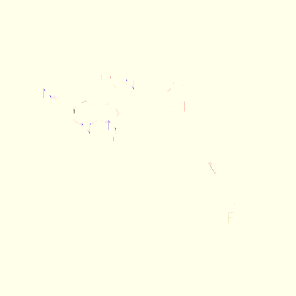 Cn1c(CCCCCCCC#CC2CC(F)(F)C2)c(C(=O)N2CC[C@H](C(=O)O)C2)c2cc(C#N)cnc21